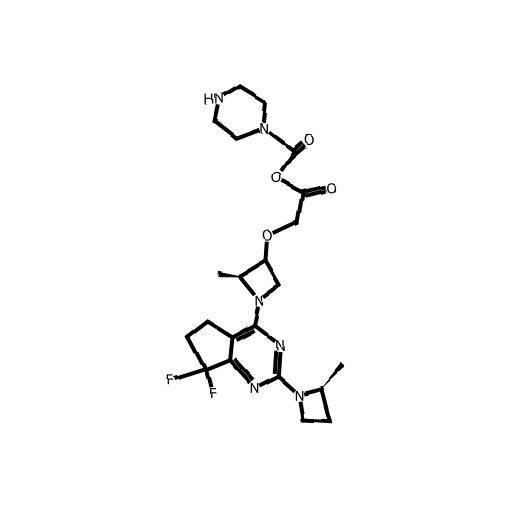 C[C@H]1CCN1c1nc(N2CC(OCC(=O)OC(=O)N3CCNCC3)[C@@H]2C)c2c(n1)C(F)(F)CC2